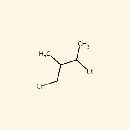 CCC(C)C(C)CCl